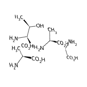 C[C@@H](O)[C@H](N)C(=O)O.C[C@H](N)C(=O)O.C[C@H](N)C(=O)O.NCC(=O)O